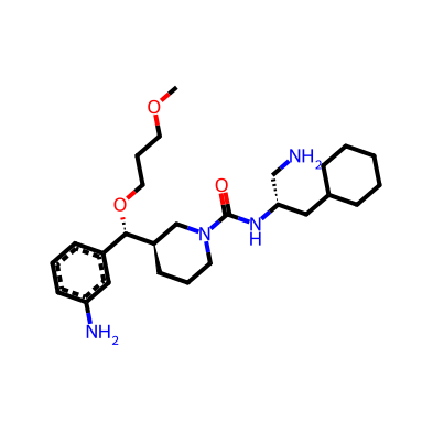 COCCCO[C@@H](c1cccc(N)c1)[C@@H]1CCCN(C(=O)N[C@H](CN)CC2CCCCC2)C1